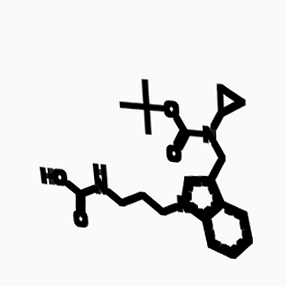 CC(C)(C)OC(=O)N(Cc1cn(CCCNC(=O)O)c2ccccc12)C1CC1